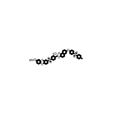 COc1ccc(Oc2ccc(S(=O)(=O)c3ccc(COc4ccc5cc(Oc6ccc(S(=O)(=O)c7ccc(C)cc7)cc6)ccc5c4)c(S(=O)(=O)O)c3)cc2S(=O)(=O)O)cc1